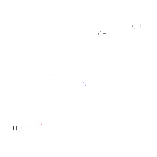 CCc1cc2ccc(OC)cc2nc1-c1cccc(C)c1